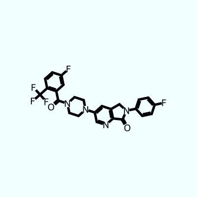 O=C(c1cc(F)ccc1C(F)(F)F)N1CCN(c2cnc3c(c2)CN(c2ccc(F)cc2)C3=O)CC1